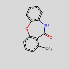 Cc1cccc2c1C(=O)Nc1ccccc1O2